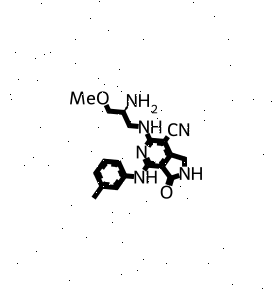 COC[C@H](N)CNc1nc(Nc2cccc(C)c2)c2c(c1C#N)CNC2=O